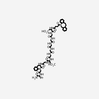 CC(C)C(NC(=O)CNC(=O)C(Cc1ccccc1)NC(=O)CNC(=O)C(CC(=O)O)NC(=O)CNC(=O)CNC(=O)CNC(=O)CNC(=O)CNC(=O)C(CC(=O)O)NC(=O)CCC(=O)N1Cc2ccccc2CCc2ccccc21)C(N)=O